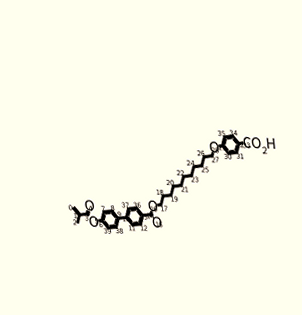 C=C(C)C(=O)Oc1ccc(-c2ccc(C(=O)OCCCCCCCCCCCOc3ccc(C(=O)O)cc3)cc2)cc1